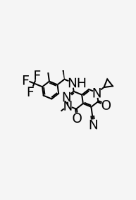 Cc1c([C@@H](C)Nc2nn(C)c(=O)c3c(C#N)c(=O)n(C4CC4)cc23)cccc1C(F)(F)F